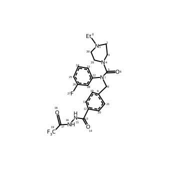 CCN1CCN(C(=O)N(Cc2ccc(C(=O)NNC(=O)C(F)(F)F)cc2)c2cccc(F)c2)CC1